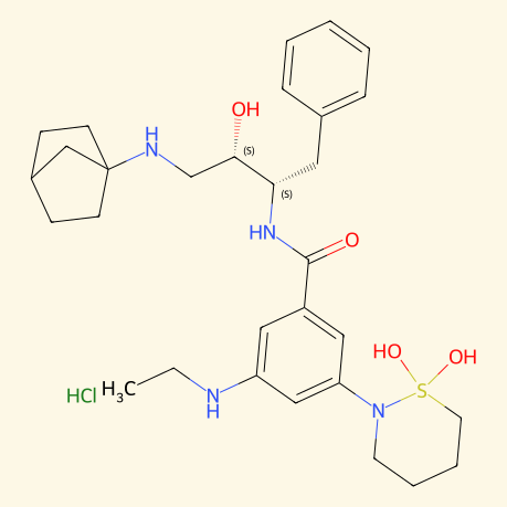 CCNc1cc(C(=O)N[C@@H](Cc2ccccc2)[C@@H](O)CNC23CCC(CC2)C3)cc(N2CCCCS2(O)O)c1.Cl